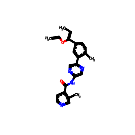 C=CO/C(=C\C)c1ccc(C)c(-c2cnc(NC(=O)c3ccncc3C)cn2)c1